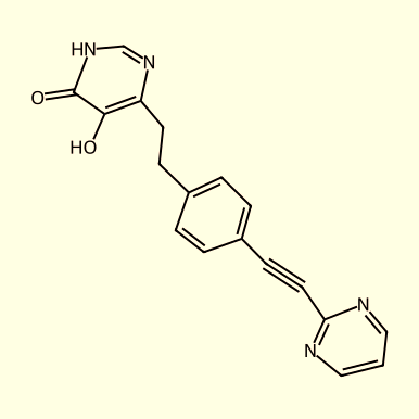 O=c1[nH]cnc(CCc2ccc(C#Cc3ncccn3)cc2)c1O